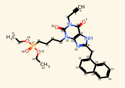 C#CCn1c(=O)c2[nH]c(Cc3cccc4ccccc34)nc2n(CCCCP(=O)(OCC)OCC)c1=O